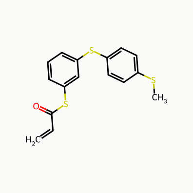 C=CC(=O)Sc1cccc(Sc2ccc(SC)cc2)c1